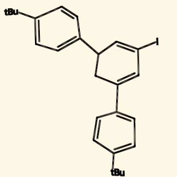 CC(C)(C)c1ccc(C2=CC(I)=CC(c3ccc(C(C)(C)C)cc3)C2)cc1